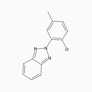 Cc1ccc([O])c(-n2nc3ccccc3n2)c1